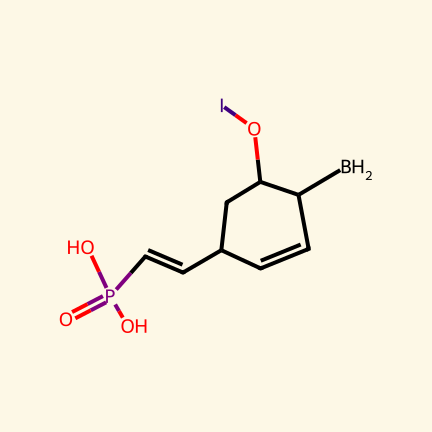 BC1C=CC(/C=C/P(=O)(O)O)CC1OI